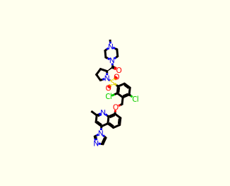 Cc1cc(-n2ccnc2)c2cccc(OCc3c(Cl)ccc(S(=O)(=O)N4CCC[C@H]4C(=O)N4CCN(C)CC4)c3Cl)c2n1